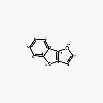 c1ccc2c(c1)sc1ccoc12